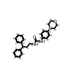 O=C(NCCC(c1ccccc1)c1ccccc1)Nc1ccc(N2CCOCC2)cc1